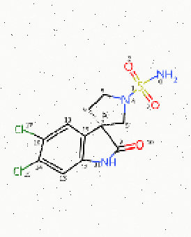 NS(=O)(=O)N1CC[C@]2(C1)C(=O)Nc1cc(Cl)c(Cl)cc12